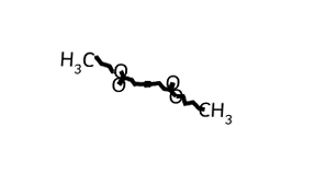 CCCCCOC(=O)CCC#CCCC(=O)OCCCCC